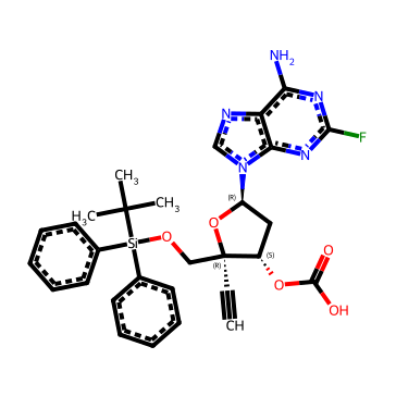 C#C[C@]1(CO[Si](c2ccccc2)(c2ccccc2)C(C)(C)C)O[C@@H](n2cnc3c(N)nc(F)nc32)C[C@@H]1OC(=O)O